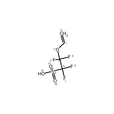 C=COC(F)(F)C(F)(F)S(=O)(=O)O